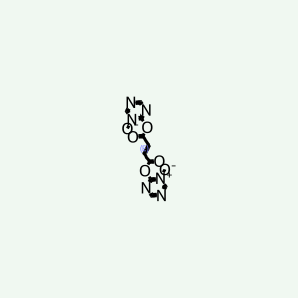 O=C(/C=C/C(=O)Oc1ncnc[n+]1[O-])Oc1ncnc[n+]1[O-]